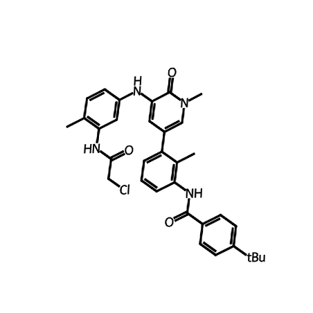 Cc1ccc(Nc2cc(-c3cccc(NC(=O)c4ccc(C(C)(C)C)cc4)c3C)cn(C)c2=O)cc1NC(=O)CCl